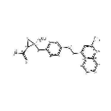 Cc1cc(COc2ccc(C[C@]3(C(=O)O)C[C@@H]3C(N)=O)cc2)c2ccccc2n1